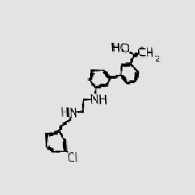 C=C(O)c1cccc(-c2cccc(NCCNCCc3cccc(Cl)c3)c2)c1